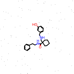 O=C(NCCc1ccccc1)C1(CNCc2cccc(O)c2)CCCCC1